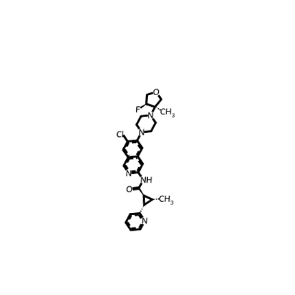 C[C@H]1[C@H](C(=O)Nc2cc3cc(N4CCN([C@]5(C)COC[C@@H]5F)CC4)c(Cl)cc3cn2)[C@H]1c1ccccn1